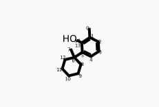 Cc1cccc(C2(C)CCCCC2)c1O